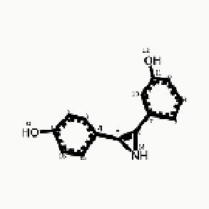 Oc1ccc(C2=C(c3cccc(O)c3)N2)cc1